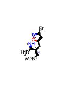 BC(=N)/C(=C\NC)Cc1cc(CC)no1